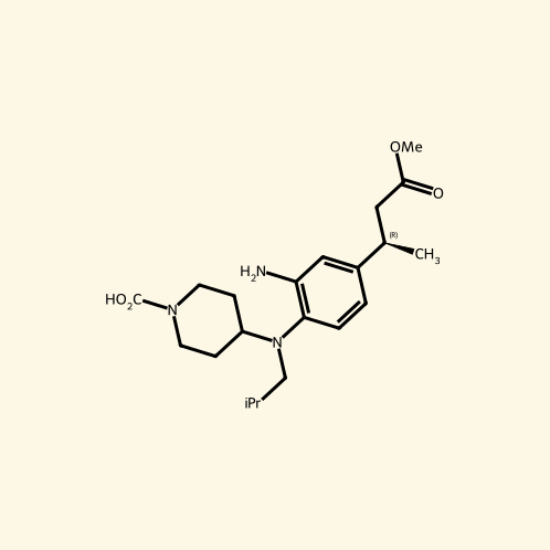 COC(=O)C[C@@H](C)c1ccc(N(CC(C)C)C2CCN(C(=O)O)CC2)c(N)c1